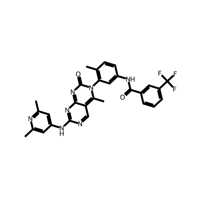 Cc1cc(Nc2ncc3c(C)n(-c4cc(NC(=O)c5cccc(C(F)(F)F)c5)ccc4C)c(=O)nc3n2)cc(C)n1